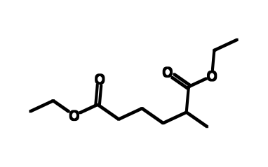 CCOC(=O)CCCC(C)C(=O)OCC